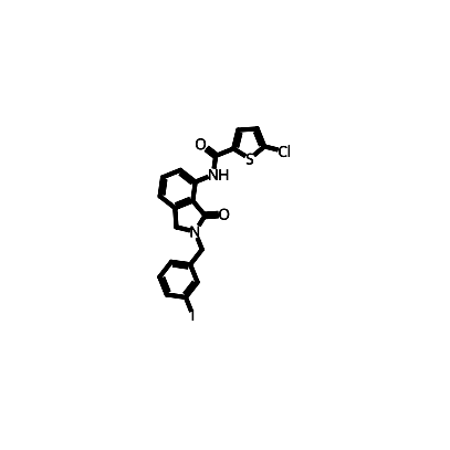 O=C(Nc1cccc2c1C(=O)N(Cc1cccc(I)c1)C2)c1ccc(Cl)s1